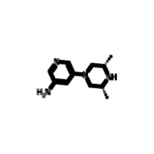 C[C@@H]1CN(c2cncc(N)c2)C[C@H](C)N1